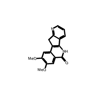 COc1cc2c3c([nH]c(=O)c2cc1OC)-c1cccnc1C3